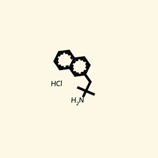 CC(C)(N)Cc1ccc2ccccc2c1.Cl